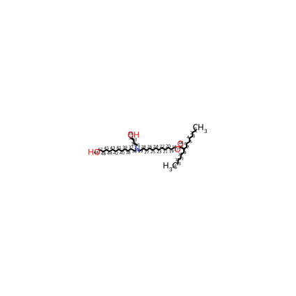 CCCCCCCCC(CCCCCC)C(=O)OCCCCCCCCCCCCN(CCCCO)CCCCCCCCCCCCO